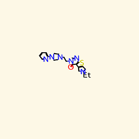 CCN1Cc2sc3ncn(CCN4CCN(c5ccccn5)CC4)c(=O)c3c2C1